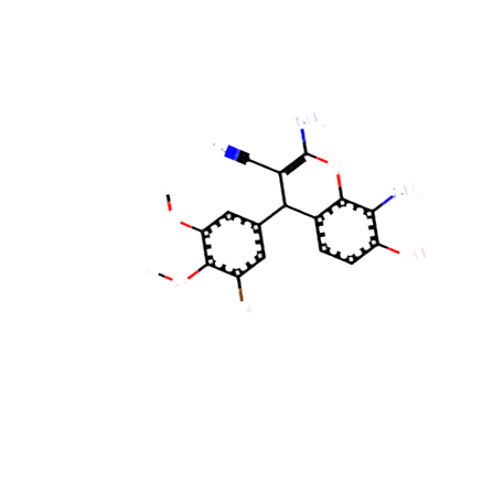 COc1cc(C2C(C#N)=C(N)Oc3c2ccc(O)c3N)cc(Br)c1OC